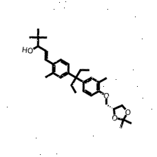 CCC(CC)(c1ccc(C=CC(O)C(C)(C)C)c(C)c1)c1ccc(OC[C@@H]2COC(C)(C)O2)c(C)c1